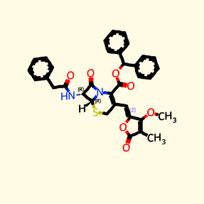 COC1=C(C)C(=O)O/C1=C\C1=C(C(=O)OC(c2ccccc2)c2ccccc2)N2C(=O)[C@@H](NC(=O)Cc3ccccc3)[C@H]2SC1